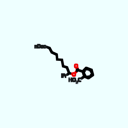 CCCCCCCCCCCCCCCCCC(OC(=O)c1ccccc1C(=O)O)C(C)C